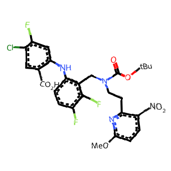 COc1ccc([N+](=O)[O-])c(CCN(Cc2c(Nc3cc(F)c(Cl)cc3C(=O)O)ccc(F)c2F)C(=O)OC(C)(C)C)n1